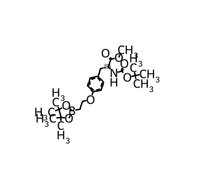 COC(=O)[C@H](Cc1ccc(OCCB2OC(C)(C)C(C)(C)O2)cc1)NC(=O)OC(C)(C)C